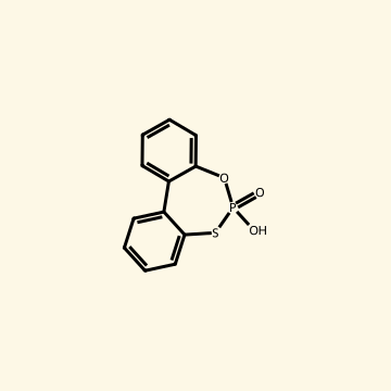 O=P1(O)Oc2ccccc2-c2ccccc2S1